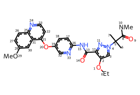 CCOc1cn(C(C)(C)C(=O)NC)nc1C(=O)Nc1ccc(Oc2ccnc3ccc(OC)cc23)cn1